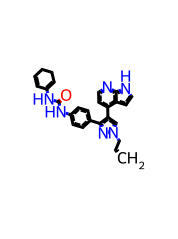 C=CCn1cc(-c2ccnc3[nH]ccc23)c(-c2ccc(NC(=O)NC3=CCCC=C3)cc2)n1